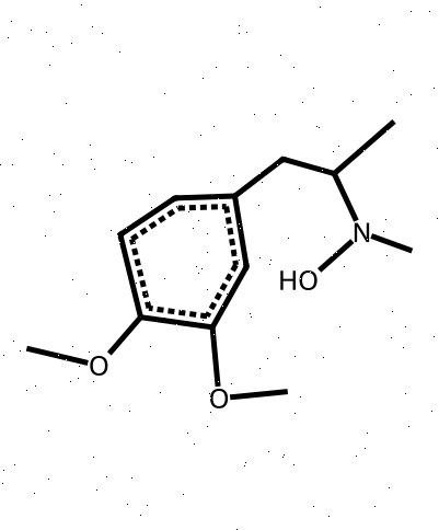 COc1ccc(CC(C)N(C)O)cc1OC